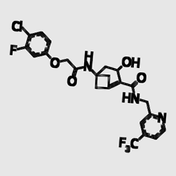 O=C(COc1ccc(Cl)c(F)c1)NC12CC(=C(C(=O)NCc3cc(C(F)(F)F)ccn3)C(O)C1)C2